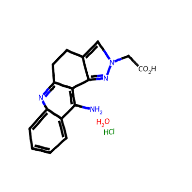 Cl.Nc1c2c(nc3ccccc13)CCc1cn(CC(=O)O)nc1-2.O